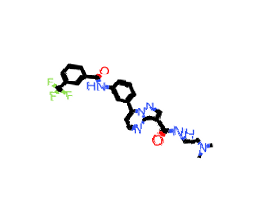 CN(C)CCNC(=O)c1cnn2c(-c3cccc(NC(=O)c4cccc(C(F)(F)F)c4)c3)ccnc12